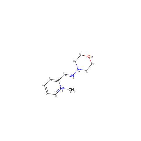 C[n+]1ccccc1/C=N/N1CCOCC1